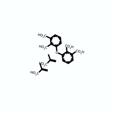 C=C(C)C(=O)O.C=C(C)C(=O)O.O=C(O)c1cccc(Oc2cccc(C(=O)O)c2C(=O)O)c1C(=O)O